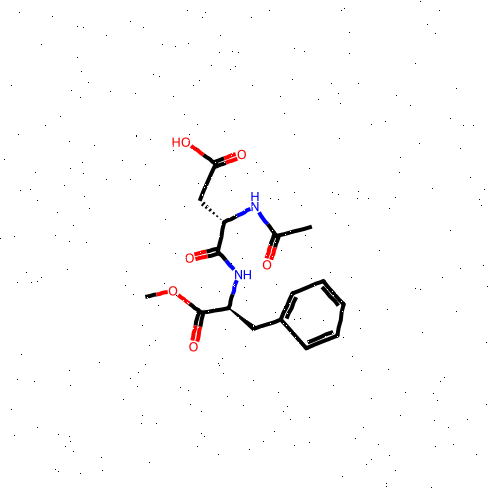 COC(=O)[C@H](Cc1ccccc1)NC(=O)[C@H](CC(=O)O)NC(C)=O